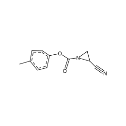 Cc1ccc(OC(=O)N2CC2C#N)cc1